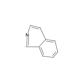 [c]1nccc2ccccc12